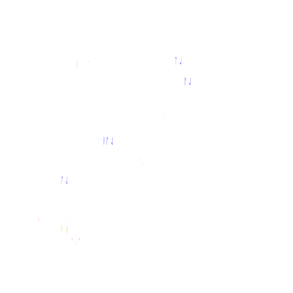 Cc1nn(C2CCCCC2)c2sc(C(=O)NCCN(C)C[SH](=O)=O)cc12.Cl